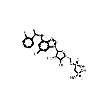 CC(Nc1cc(Cl)cc2c1nnn2C1O[C@H](COP(=O)(O)CP(=O)(O)O)[C@@H](O)[C@H]1O)c1ccccc1F